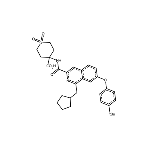 CC(C)(C)c1ccc(Oc2ccc3cc(C(=O)NC4(C(=O)O)CCS(=O)(=O)CC4)nc(CC4CCCC4)c3c2)cc1